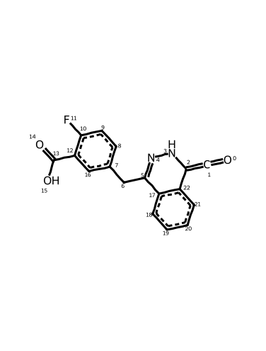 O=C=C1NN=C(Cc2ccc(F)c(C(=O)O)c2)c2ccccc21